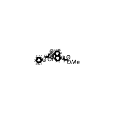 COC(=O)COc1cccc2c(S(=O)(=O)CC(O)COc3ccccc3)cccc12